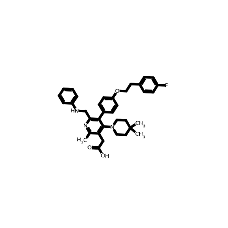 Cc1nc(CNc2ccccc2)c(-c2ccc(OCCc3ccc(F)cc3)cc2)c(N2CCC(C)(C)CC2)c1CC(=O)O